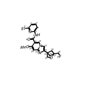 CCc1cccc(NC(=O)c2cn3cc(C45COC(CF)(C4)C5)nc3cc2OC)n1